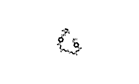 CN(CCSSCCN(C)CCN(C)c1ccc(/N=N/c2n(C)cc[n+]2C)cc1)CCN(C)c1ccc(N=N)cc1